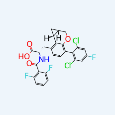 O=C(N[C@@H](Cc1ccc(-c2c(Cl)cc(F)cc2Cl)c2c1[C@@H]1C[C@@H]1CO2)C(=O)O)c1c(F)cccc1F